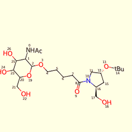 CC(=O)NC1C(OCCCCC(=O)N2C[C@H](OC(C)(C)C)C[C@H]2CO)OC(CO)C(O)C1O